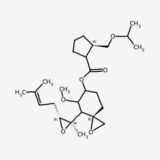 COC1C(OC(=O)C2CCC[C@H]2COC(C)C)CC[C@]2(CO2)C1[C@@]1(C)O[C@@H]1CC=C(C)C